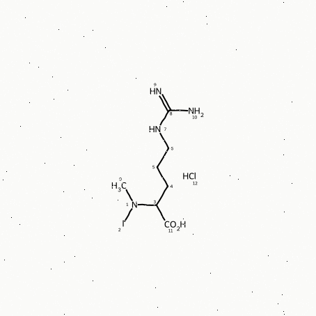 CN(I)C(CCCNC(=N)N)C(=O)O.Cl